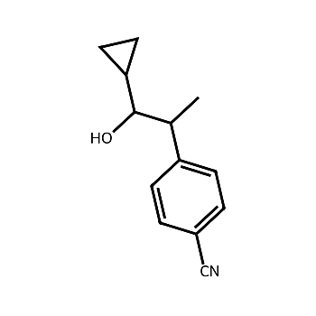 CC(c1ccc(C#N)cc1)C(O)C1CC1